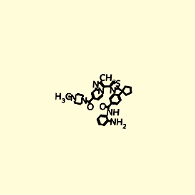 Cc1nc2cc(C(=O)N3CCN(C)CC3)ccn2c1-c1csc(C2(c3ccc(C(=O)Nc4ccccc4N)cc3)CCCC2)n1